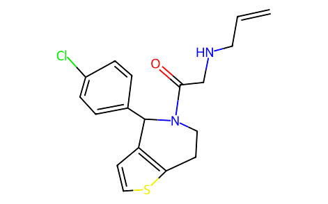 C=CCNCC(=O)N1CCc2sccc2C1c1ccc(Cl)cc1